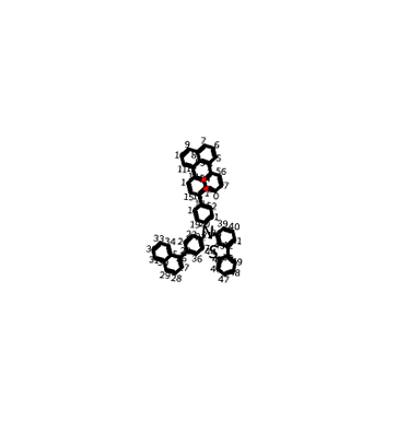 c1ccc(-c2cccc3cccc(-c4ccc(-c5ccc(N(c6ccc(-c7cccc8ccccc78)cc6)c6cccc7c6sc6ccccc67)cc5)cc4)c23)cc1